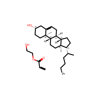 C=CC(=O)OCCO.CC(C)CCCC(C)[C@H]1CC[C@H]2[C@@H]3CC=C4C[C@@H](O)CC[C@]4(C)[C@H]3CC[C@]12C